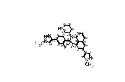 Cc1cc(-c2cnn(C)c2)cc2ccnc(N(C(=O)c3ccc(-c4cn(C)nn4)cc3F)[C@@H]3CCCNC3)c12